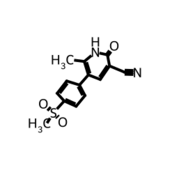 Cc1[nH]c(=O)c(C#N)cc1-c1ccc(S(C)(=O)=O)cc1